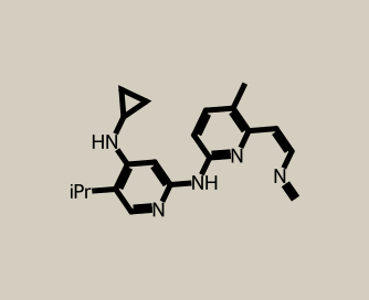 C=N/C=C\c1nc(Nc2cc(NC3CC3)c(C(C)C)cn2)ccc1C